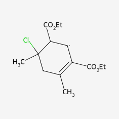 CCOC(=O)C1=C(C)CC(C)(Cl)C(C(=O)OCC)[CH]1